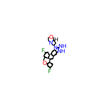 N=c1[nH]c2cc(/C=C3\c4ccc(F)cc4COc4cc(F)ccc43)ccc2n1[C@@H]1C[C@H]2COCCN2C1